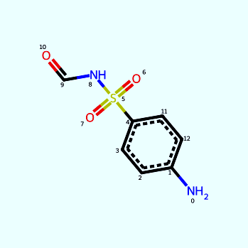 Nc1ccc(S(=O)(=O)NC=O)cc1